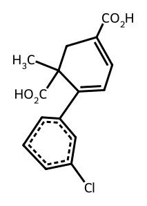 CC1(C(=O)O)CC(C(=O)O)=CC=C1c1cccc(Cl)c1